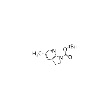 Cc1cnc2c(c1)CCN2C(=O)OC(C)(C)C